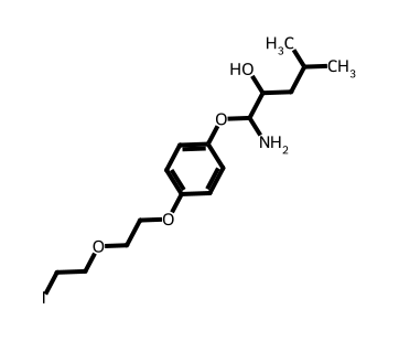 CC(C)CC(O)C(N)Oc1ccc(OCCOCCI)cc1